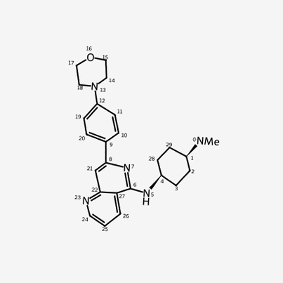 CN[C@H]1CC[C@@H](Nc2nc(-c3ccc(N4CCOCC4)cc3)cc3ncccc23)CC1